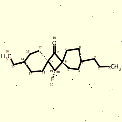 CCCC1CC[C@]2(CC1)C(=O)[C@@]1(CCC(CC)CC1)[C@H]2F